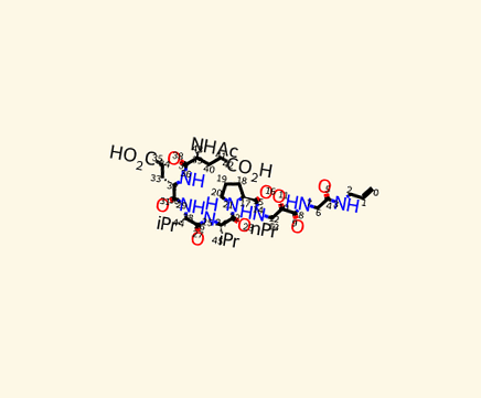 C=CCNC(=O)CNC(=O)C(=O)[C@H](CCC)NC(=O)[C@@H]1CCCN1C(=O)[C@@H](NC(=O)[C@@H](NC(=O)[C@H](CCC(=O)O)NC(=O)[C@H](CCC(=O)O)NC(C)=O)C(C)C)C(C)C